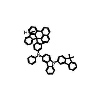 Cc1cc(N(c2ccccc2)c2ccc3c(c2)c2ccccc2n3-c2ccc3c(c2)-c2ccccc2C3(C)C)ccc1C1(c2ccccc2[SiH](C)C)c2ccccc2-c2cccc3cccc1c23